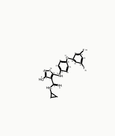 N=C(NC1CC1)c1c(O)nsc1Nc1ccc(Oc2cc(F)cc(F)c2)cc1